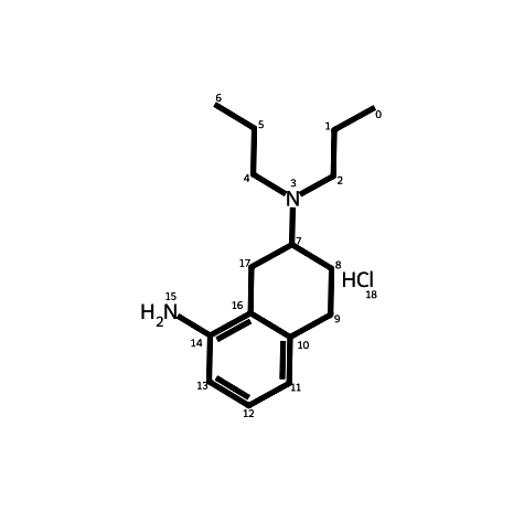 CCCN(CCC)C1CCc2cccc(N)c2C1.Cl